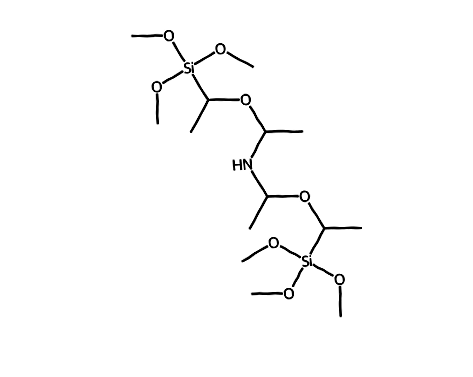 CO[Si](OC)(OC)C(C)OC(C)NC(C)OC(C)[Si](OC)(OC)OC